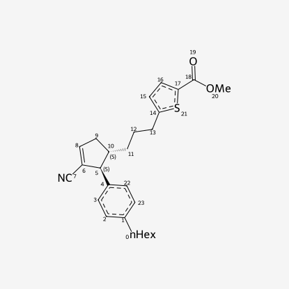 CCCCCCc1ccc([C@H]2C(C#N)=CC[C@@H]2CCCc2ccc(C(=O)OC)s2)cc1